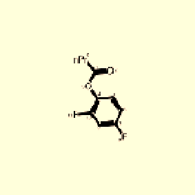 CCCC(=O)Oc1ccc(F)cc1F